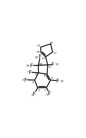 FC1=C(F)C(F)C2(F)C(=C1F)C(F)(C1=CCCC1)C2(F)F